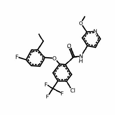 CCc1cc(F)ccc1Oc1cc(C(F)(F)F)c(Cl)cc1C(=O)Nc1ccnc(OC)c1